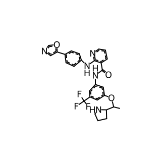 CC(Oc1cc(NC(=O)c2cccnc2Nc2ccc(-c3cnco3)cc2)cc(C(F)(F)F)c1)C1CCCN1